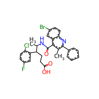 Cc1c(-c2ccccc2)nc2ccc(Br)cc2c1C(=O)NC(C)C(CCC(=O)O)c1cc(F)ccc1Cl